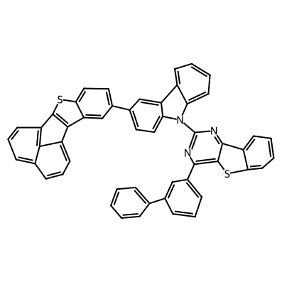 c1ccc(-c2cccc(-c3nc(-n4c5ccccc5c5cc(-c6ccc7sc8c(c7c6)-c6cccc7cccc-8c67)ccc54)nc4c3sc3ccccc34)c2)cc1